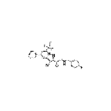 O=C(ONCc1ccc(F)cc1)c1nn2c(C(F)(F)F)cc(-c3ccccc3)nc2c1Br